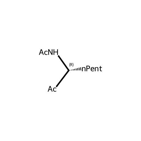 CCCCC[C@@H](NC(C)=O)C(C)=O